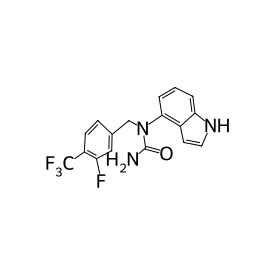 NC(=O)N(Cc1ccc(C(F)(F)F)c(F)c1)c1cccc2[nH]ccc12